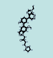 CCn1cnc2c(-c3ccc(F)c(-c4cc5cnn(CC(=O)CCN6CCCC6)c5cc4OC)c3)cnnc21